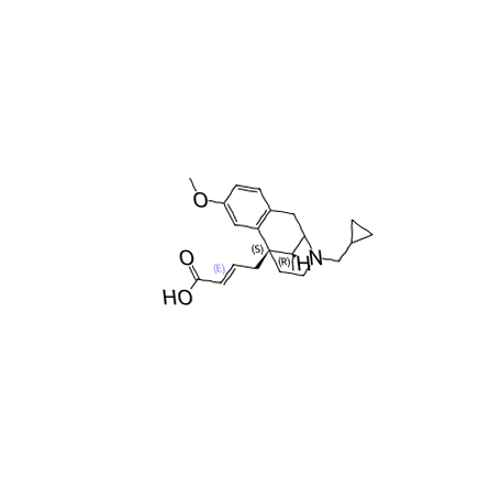 COc1ccc2c(c1)[C@@]1(C/C=C/C(=O)O)CCN(CC3CC3)C(C2)[C@@H]1C